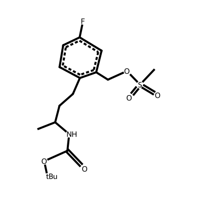 CC(CCc1ccc(F)cc1COS(C)(=O)=O)NC(=O)OC(C)(C)C